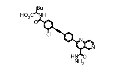 CCC(C)C(NC(=O)c1ccc(C#Cc2ccc(-c3cc(C(=O)NN)c4cnccc4n3)cc2)c(Cl)c1)C(=O)O